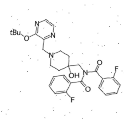 CC(C)(C)Oc1nccnc1CN1CCC(O)(CN(C(=O)c2ccccc2F)C(=O)c2ccccc2F)CC1